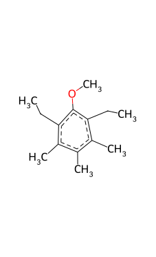 CCc1c(C)c(C)c(C)c(CC)c1OC